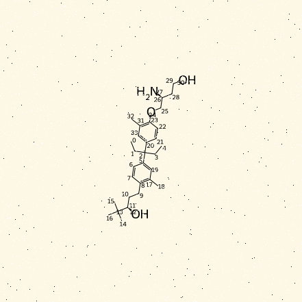 CCC(CC)(c1ccc(CC[C@@H](O)C(C)(C)C)c(C)c1)c1ccc(OC[C@@H](N)CCO)c(C)c1